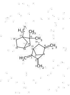 C=C1C(=C)C2CC1CC2=C.CC1(C)CC2CCC1(C)C2